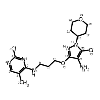 Cc1cnc(Cl)nc1NCCCOc1nn(C2CCOCC2)c(Cl)c1N